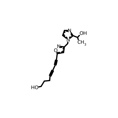 CC(O)c1nccn1Cc1cc(C#CC#CCCCO)on1